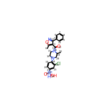 Cc1onc(-c2ccccc2)c1C(=O)N1CCN(c2ccc([NH+]([O-])O)cc2Cl)CC1C